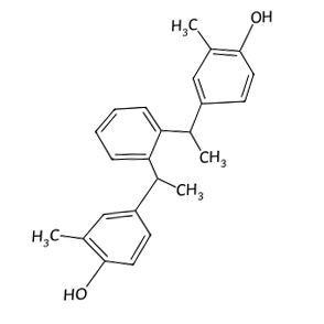 Cc1cc(C(C)c2ccccc2C(C)c2ccc(O)c(C)c2)ccc1O